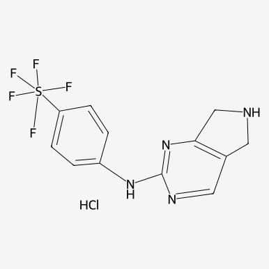 Cl.FS(F)(F)(F)(F)c1ccc(Nc2ncc3c(n2)CNC3)cc1